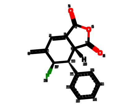 C=C1C=C2C(=O)OC(=O)[C@@H]2[C@H](c2ccccc2)[C@H]1F